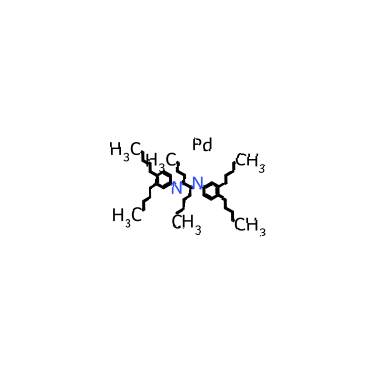 CCCCCC(=N\c1ccc(CCCCC)c(CCCCC)c1)/C(CCCC)=N/c1ccc(CCCCC)c(CCCCC)c1.[Pd]